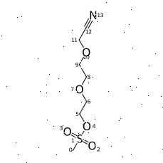 CS(=O)(=O)OCCOCCOCC#N